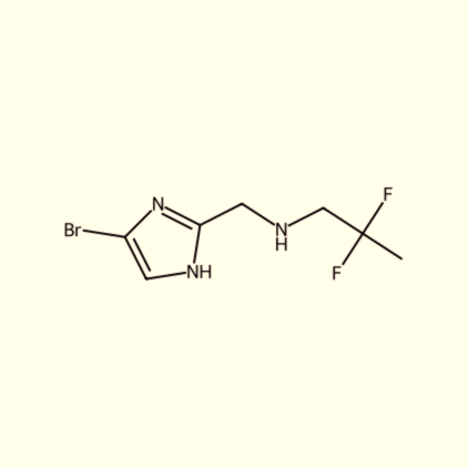 CC(F)(F)CNCc1nc(Br)c[nH]1